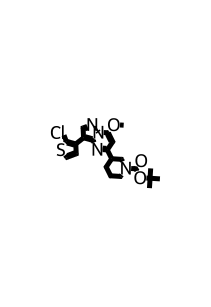 COc1cc(C2CCCN(C(=O)OC(C)(C)C)C2)nc2c(-c3ccsc3Cl)cnn12